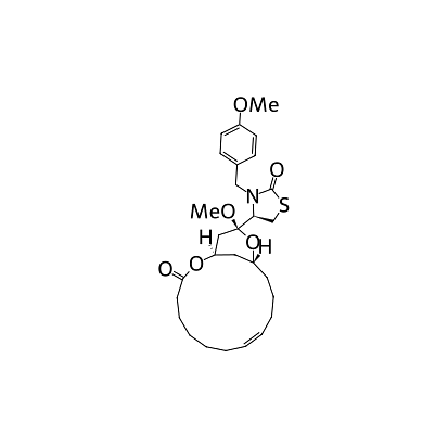 COc1ccc(CN2C(=O)SC[C@H]2[C@@]2(OC)C[C@H]3C[C@@H](CCC/C=C\CCCCCC(=O)O3)O2)cc1